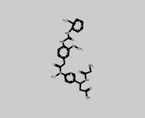 COc1cc(CC(=O)N(C)c2ccc(C(CC(=O)O)NC(=O)CN)cn2)ccc1NC(=O)Nc1ccccc1C